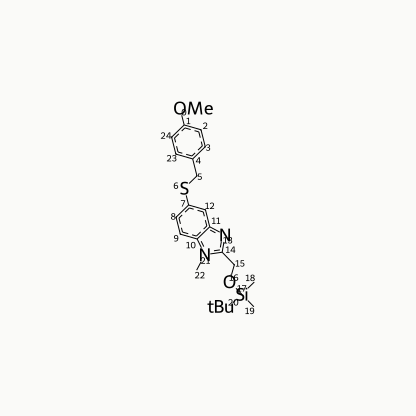 COc1ccc(CSc2ccc3c(c2)nc(CO[Si](C)(C)C(C)(C)C)n3C)cc1